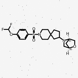 O=S(=O)(c1ccc(OC(F)F)cc1)N1CCC2(CCC(N3C[C@H]4C[C@@H]3CO4)C2)CC1